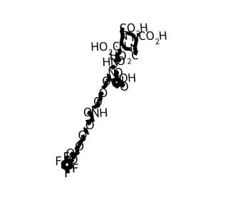 O=C(O)CN1CCN(CC(=O)O)CCN([C@H](CCC(=O)NCCN(CCOCCOCCOCCNC(=O)CCOCCOCCOCCC(=O)Oc2c(F)c(F)cc(F)c2F)C(=O)c2cccc(=O)n2O)C(=O)O)CCN(CC(=O)O)CC1